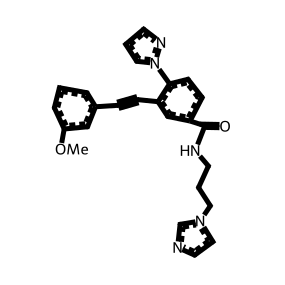 COc1cccc(C#Cc2cc(C(=O)NCCCn3ccnc3)ccc2-n2cccn2)c1